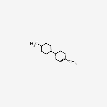 CC1=CCC(C2CCC(C)CC2)CC1